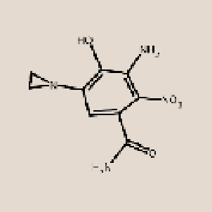 NC(=O)c1cc(N2CC2)c(O)c(N)c1[N+](=O)[O-]